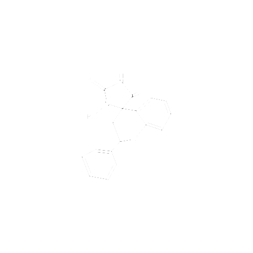 O=C1NC(=S)N(Br)C12CC(c1ccccc1)Sc1ccccc12